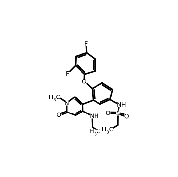 CCNc1cc(=O)n(C)cc1-c1cc(NS(=O)(=O)CC)ccc1Oc1ccc(F)cc1F